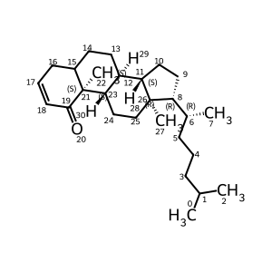 CC(C)CCC[C@@H](C)[C@H]1CC[C@H]2[C@@H]3CCC4CC=CC(=O)[C@]4(C)[C@H]3CC[C@]12C